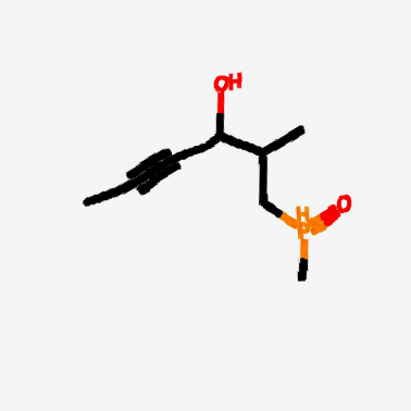 CC#CC(O)C(C)C[PH](C)=O